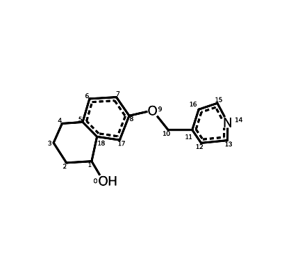 OC1CCCc2ccc(OCc3ccncc3)cc21